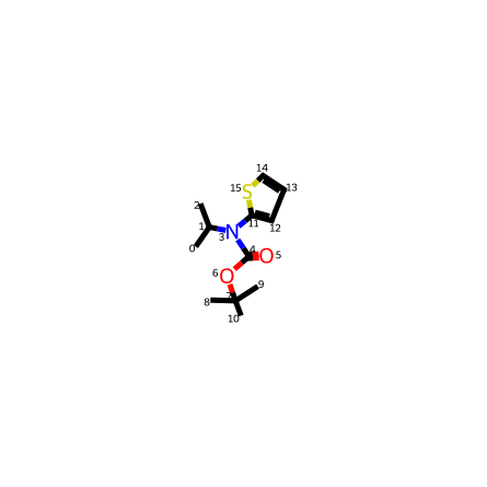 CC(C)N(C(=O)OC(C)(C)C)c1cccs1